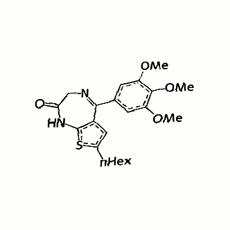 CCCCCCc1cc2c(s1)NC(=O)CN=C2c1cc(OC)c(OC)c(OC)c1